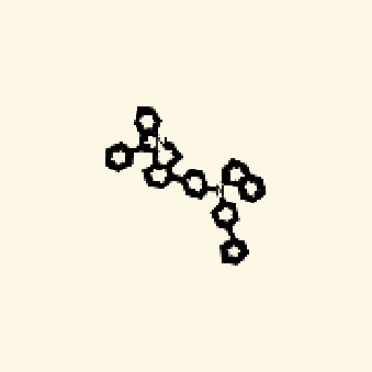 c1ccc(-c2ccc(N(c3ccc(-c4cccc5c4ccn4c6ccccc6c(-c6ccccc6)c54)cc3)c3cccc4ccccc34)cc2)cc1